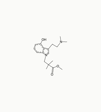 COC(=O)C(C)(C)Cn1cc(CCN(C)C)c2c(O)cccc21